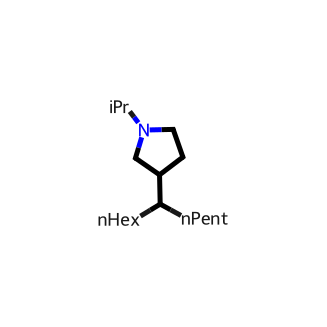 CCCCCCC(CCCCC)C1CCN(C(C)C)C1